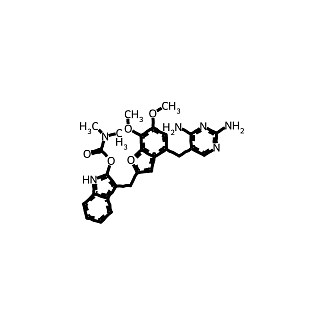 COc1cc(Cc2cnc(N)nc2N)c2cc(Cc3c(OC(=O)N(C)C)[nH]c4ccccc34)oc2c1OC